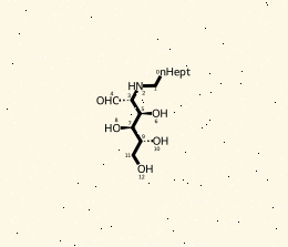 CCCCCCCCN[C@@H](C=O)[C@@H](O)[C@H](O)[C@H](O)CO